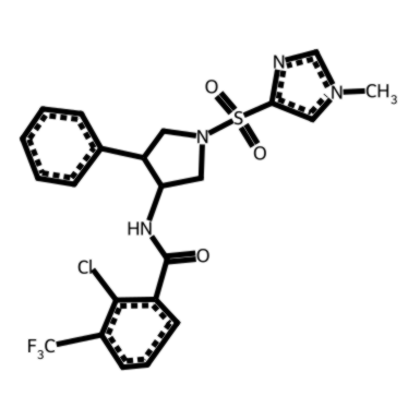 Cn1cnc(S(=O)(=O)N2CC(NC(=O)c3cccc(C(F)(F)F)c3Cl)C(c3ccccc3)C2)c1